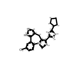 Clc1ccc2c(c1)-c1[nH]ncc1Cc1c(-c3nc(C4CCCC4)no3)ncn1-2